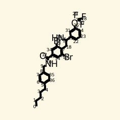 CCCCCc1ccc(CNC(=O)c2cc(Br)c(CC([NH])c3cccc(OC(F)(F)F)c3)c(Br)c2)cc1